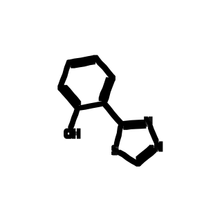 Oc1ccccc1-c1nncs1